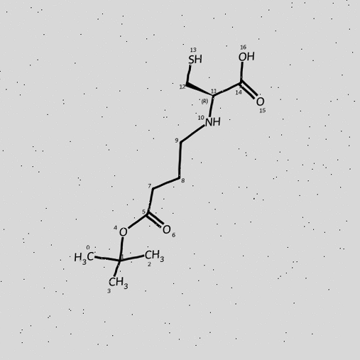 CC(C)(C)OC(=O)CCCN[C@@H](CS)C(=O)O